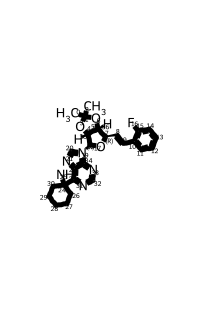 CC1(C)O[C@@H]2[C@H](O1)[C@@H](C=Cc1ccccc1F)O[C@H]2n1cnc2c(C3(N)CCCCC3)ncnc21